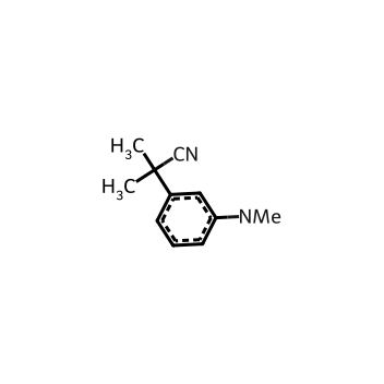 CNc1cccc(C(C)(C)C#N)c1